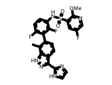 COc1ncc(F)cc1S(=O)(=O)Nc1ccc(F)c(-c2ccc3c(-c4ncc[nH]4)n[nH]c3c2C)c1F